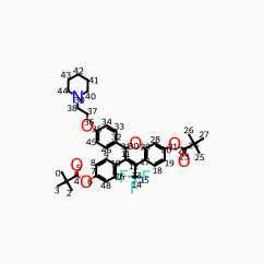 CC(C)(C)C(=O)Oc1ccc(C2=C(C(F)(F)F)c3ccc(OC(=O)C(C)(C)C)cc3OC2c2ccc(OCCN3CCCCC3)cc2)cc1